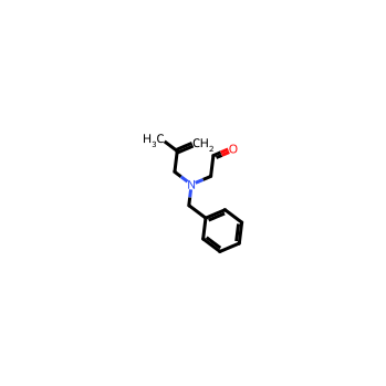 C=C(C)CN(CC=O)Cc1ccccc1